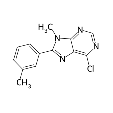 Cc1cccc(-c2nc3c(Cl)ncnc3n2C)c1